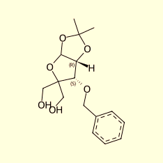 CC1(C)OC2OC(CO)(CO)[C@@H](OCc3ccccc3)[C@H]2O1